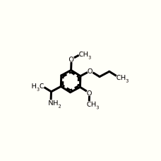 CCCOc1c(OC)cc(C(C)N)cc1OC